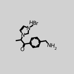 Br.CC(C(=O)c1ccc(CN)cc1)N1C=CN(C)C1